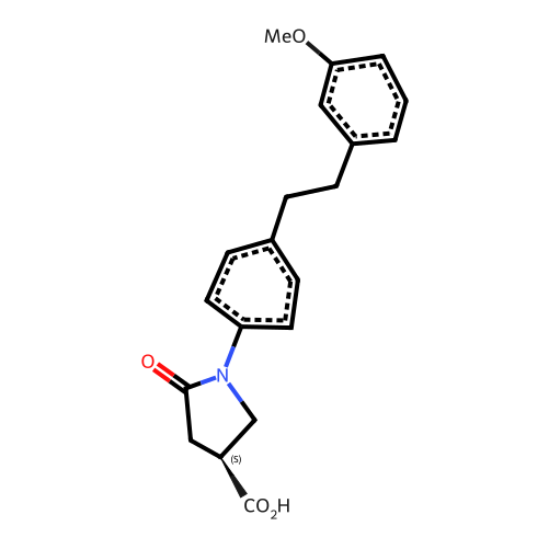 COc1cccc(CCc2ccc(N3C[C@@H](C(=O)O)CC3=O)cc2)c1